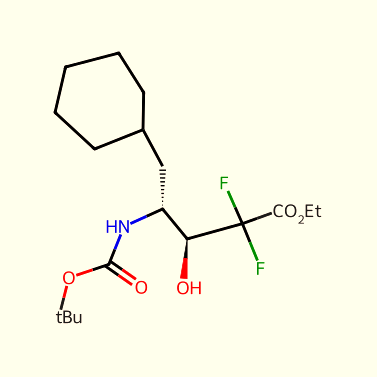 CCOC(=O)C(F)(F)[C@@H](O)[C@@H](CC1CCCCC1)NC(=O)OC(C)(C)C